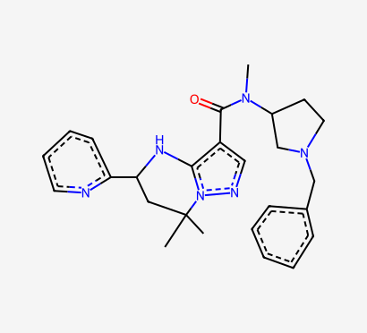 CN(C(=O)c1cnn2c1NC(c1ccccn1)CC2(C)C)C1CCN(Cc2ccccc2)C1